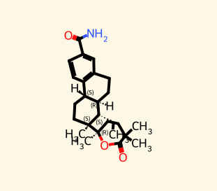 CC[C@H]1[C@@H]2CCc3cc(C(N)=O)ccc3[C@H]2CC[C@]1(C)[C@@]1(C)CCC(C)(C)C(=O)O1